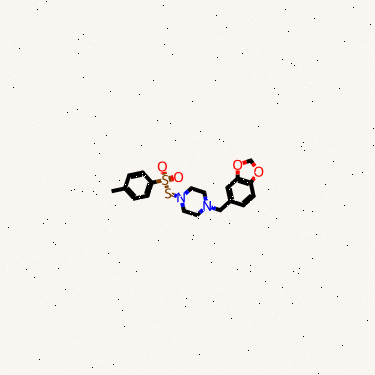 Cc1ccc(S(=O)(=O)SN2CCN(Cc3ccc4c(c3)OCO4)CC2)cc1